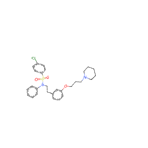 O=S(=O)(c1ccc(Cl)cc1)N(CCc1cccc(OCCCN2CCCCC2)c1)c1ccccc1